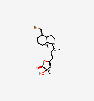 C[C@H](CCC1=C[C@](C)(O)C(=O)O1)[C@H]1CCC2C(=CBr)CCC[C@@]21C